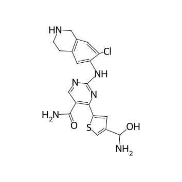 NC(=O)c1cnc(Nc2cc3c(cc2Cl)CNCC3)nc1-c1cc(C(N)O)cs1